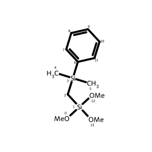 CO[Si](C[Si](C)(C)c1ccccc1)(OC)OC